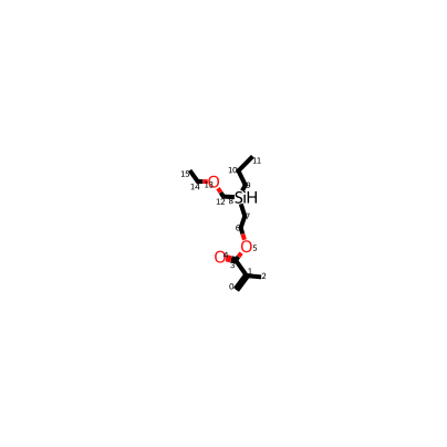 C=C(C)C(=O)OCC[SiH](CCC)COCC